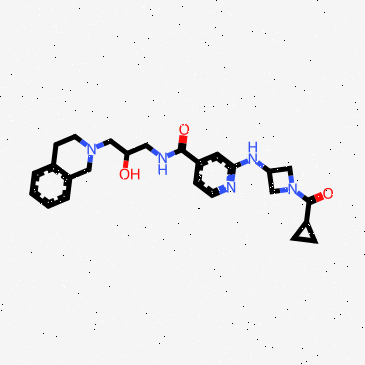 O=C(NCC(O)CN1CCc2ccccc2C1)c1ccnc(NC2CN(C(=O)C3CC3)C2)c1